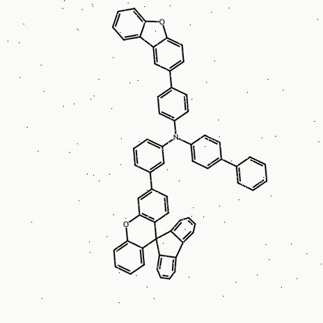 c1ccc(-c2ccc(N(c3ccc(-c4ccc5oc6ccccc6c5c4)cc3)c3cccc(-c4ccc5c(c4)Oc4ccccc4C54c5ccccc5-c5ccccc54)c3)cc2)cc1